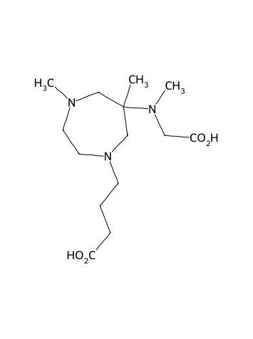 CN1CCN(CCCC(=O)O)CC(C)(N(C)CC(=O)O)C1